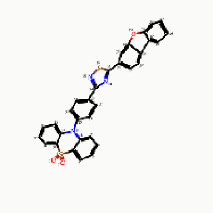 O=S1(=O)c2ccccc2N(c2ccc(-c3nsc(-c4ccc5c(c4)oc4ccccc45)n3)cc2)c2ccccc21